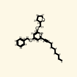 CCCCCCCC#Cc1cc(OCc2ccccc2)cc(OCC2CCCO2)n1